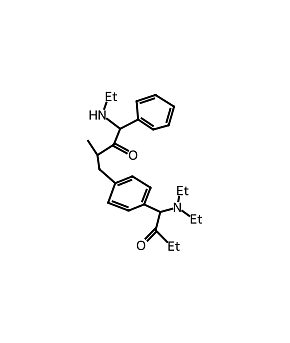 CCNC(C(=O)C(C)Cc1ccc(C(C(=O)CC)N(CC)CC)cc1)c1ccccc1